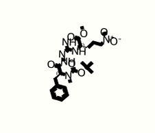 COC(=O)[C@H](CCC[N+](=O)[O-])NC(N)=NNC(=O)[C@H](Cc1ccccc1)N(C)C(=O)OC(C)(C)C